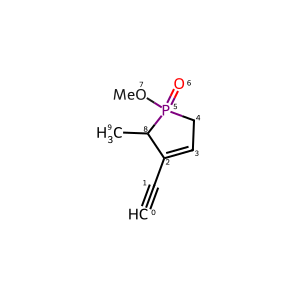 C#CC1=CCP(=O)(OC)C1C